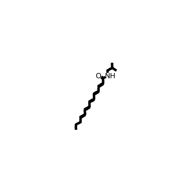 CCCC=CC=CC=CC=CC=CC(=O)NCC(C)C